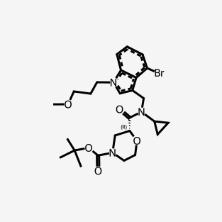 COCCCn1cc(CN(C(=O)[C@H]2CN(C(=O)OC(C)(C)C)CCO2)C2CC2)c2c(Br)cccc21